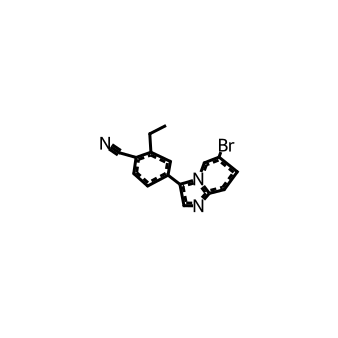 CCc1cc(-c2cnc3ccc(Br)cn23)ccc1C#N